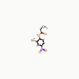 CCC(=O)Oc1ccc([N+](=O)[O-])cc1Br